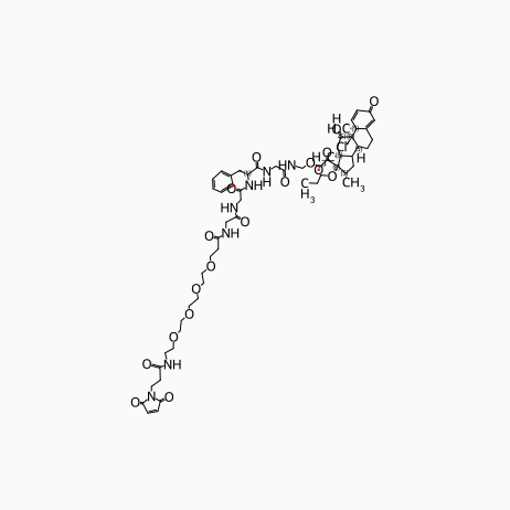 CCC(=O)O[C@]1(C(=O)COCNC(=O)CNC(=O)[C@H](Cc2ccccc2)NC(=O)CNC(=O)CNC(=O)CCOCCOCCOCCOCCNC(=O)CCN2C(=O)C=CC2=O)[C@@H](C)CC2[C@@H]3CCC4=CC(=O)C=C[C@]4(C)[C@@]3(Cl)[C@@H](O)C[C@@]21C